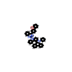 c1ccc(-n2c3ccc4c(c5ccccc5n4-c4nc(-c5ccc6c(c5)oc5ccccc56)c5ccccc5n4)c3c3c4ccccc4c4ccccc4c32)cc1